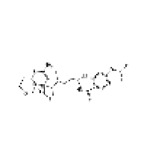 C=C(NC(CC)CCC(F)C(C)[C@@]1(CF)N=C(N)OC2CCOC[C@@H]21)c1cnc(OC(F)F)cn1